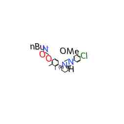 CCCCN(C)C(=O)COc1ccc([C@H]2CCC[C@H]3CN(c4ccc(Cl)c(OC)c4)CCN32)c(C)c1C